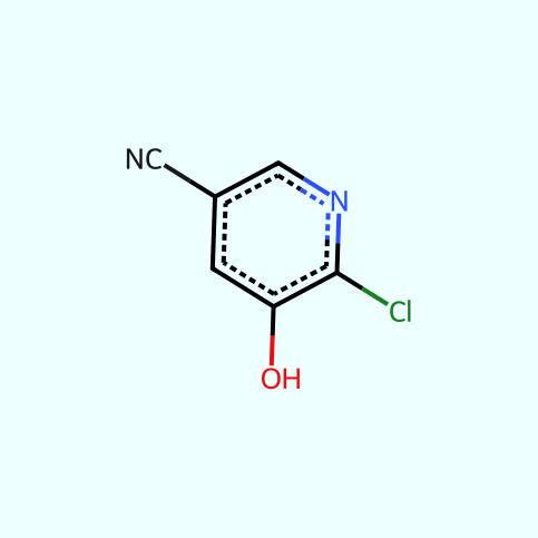 N#Cc1cnc(Cl)c(O)c1